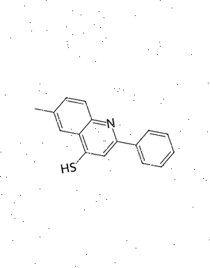 Cc1ccc2nc(-c3ccccc3)cc(S)c2c1